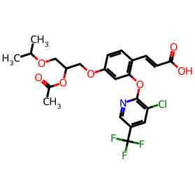 CC(=O)OC(COc1ccc(/C=C/C(=O)O)c(Oc2ncc(C(F)(F)F)cc2Cl)c1)COC(C)C